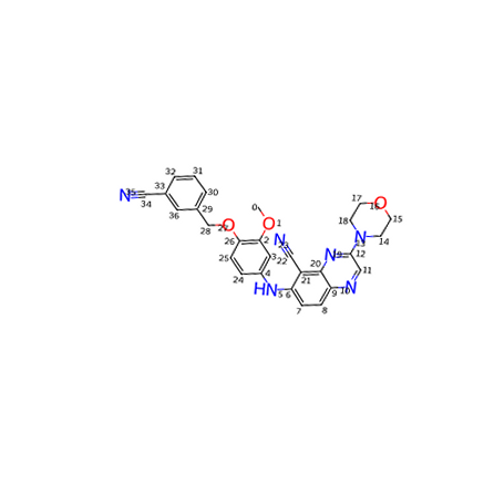 COc1cc(Nc2ccc3ncc(N4CCOCC4)nc3c2C#N)ccc1OCc1cccc(C#N)c1